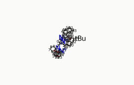 C=C1CN(C2CCCCC2)C(c2ccccc2)[N+](C)(C2CCCCC2)CCC2c3ccc4cc(C(C)(C)C)ccc4c3-c3c4c(nc[n+]3C12)-c1ccc2ccc(C)c(C)c2c1C4(C)C